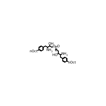 CCCCCCCCc1ccc(CC(N)C(O)CO[PH](=O)OCC(O)C(N)Cc2ccc(CCCCCCCC)cc2)cc1